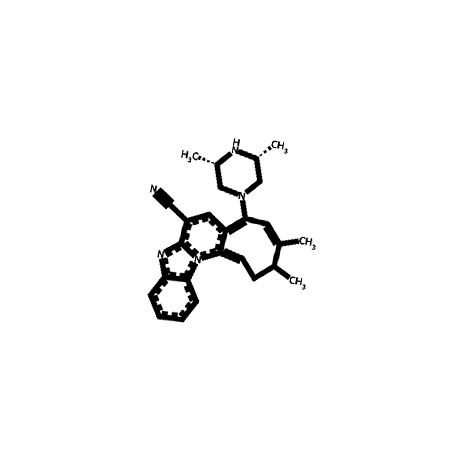 C/C1=C/C(N2C[C@@H](C)N[C@@H](C)C2)=c2/cc(C#N)c3nc4ccccc4n3/c2=C\CC1C